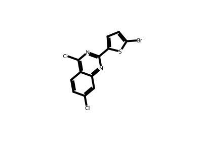 Clc1ccc2c(Cl)nc(-c3ccc(Br)s3)nc2c1